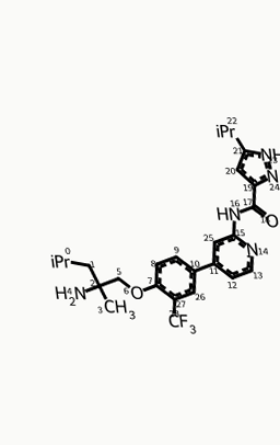 CC(C)CC(C)(N)COc1ccc(-c2ccnc(NC(=O)c3cc(C(C)C)[nH]n3)c2)cc1C(F)(F)F